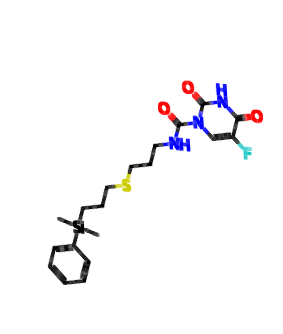 C[Si](C)(CCCSCCCNC(=O)n1cc(F)c(=O)[nH]c1=O)c1ccccc1